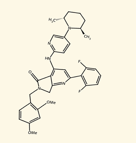 COc1ccc(CN2Cc3nc(-c4c(F)cccc4F)cc(Nc4ccc(N5[C@H](C)CCC[C@H]5C)cn4)c3C2=O)c(OC)c1